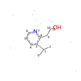 CC(C)c1cccnc1CCO